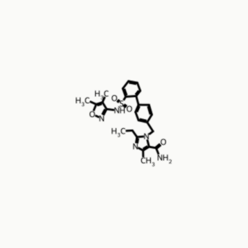 CCc1nc(C)c(C(N)=O)n1Cc1ccc(-c2ccccc2S(=O)(=O)Nc2noc(C)c2C)cc1